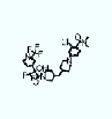 CN(C)C(=O)c1ccc(N2CCC(CC3CCN(C(=O)C(O)(c4ccnc(C(F)(F)F)c4)C(F)(F)F)CC3)CC2)cc1Cl